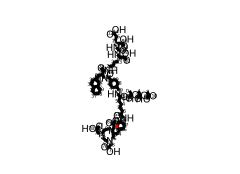 CC(=O)O.CC(=O)O.CC(=O)O.O=C(O)CC[C@H](NC(=O)N[C@@H](CCCCNC(=O)C(Cc1ccc2ccccc2c1)NC(=O)C1CCC(CNC(=O)CCCCC(=O)Nc2ccc(CC3CN(CC(=O)O)CCN(CC(=O)O)CCN3CC(=O)O)cc2)CC1)C(=O)O)C(=O)O